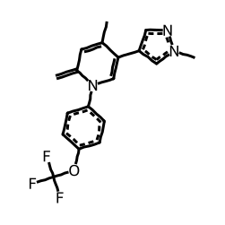 C=C1C=C(C)C(c2cnn(C)c2)=CN1c1ccc(OC(F)(F)F)cc1